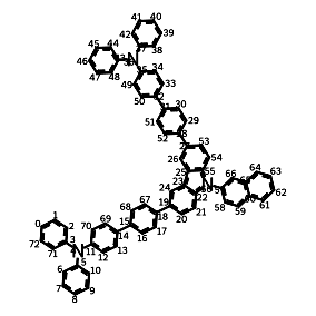 c1ccc(N(c2ccccc2)c2ccc(-c3ccc(-c4ccc5c(c4)c4cc(-c6ccc(-c7ccc(N(c8ccccc8)c8ccccc8)cc7)cc6)ccc4n5-c4ccc5ccccc5c4)cc3)cc2)cc1